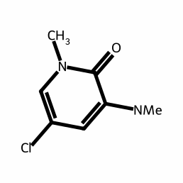 CNc1cc(Cl)cn(C)c1=O